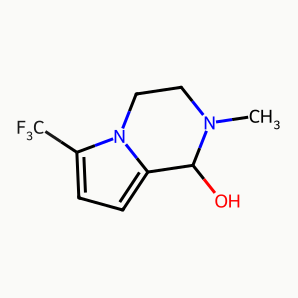 CN1CCn2c(ccc2C(F)(F)F)C1O